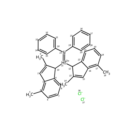 CC1=Cc2c(C)cccc2[CH]1[Hf+2]([CH]1C(C)=Cc2c(C)cccc21)=[Si](c1ccccc1)c1ccccc1.[Cl-].[Cl-]